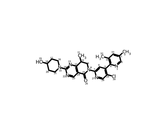 Cc1cnc(-c2cc(N3CC(C)c4nc(N5CCC(O)CC5)ncc4C3=O)ncc2Cl)c(C)c1